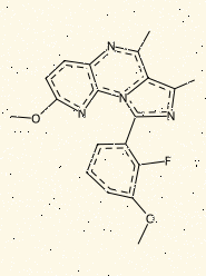 COc1ccc2nc(C)c3c(C)nc(-c4cccc(OC)c4F)n3c2n1